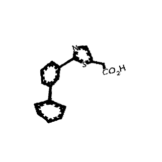 O=C(O)Cc1cnc(-c2cccc(-c3ccccc3)c2)s1